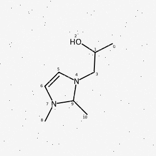 CC(O)CN1C=CN(C)C1C